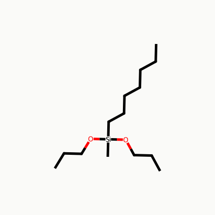 CCCCCCC[Si](C)(OCCC)OCCC